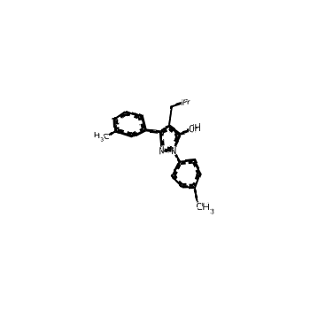 Cc1ccc(-n2nc(-c3cccc(C)c3)c(CC(C)C)c2O)cc1